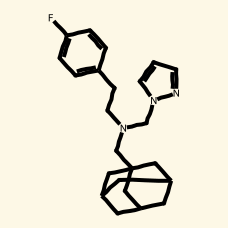 Fc1ccc(CCN(Cn2cccn2)CC23CC4CC(CC(C4)C2)C3)cc1